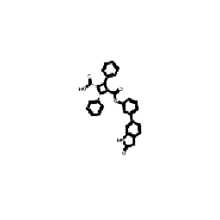 O=C1Cc2ccc(-c3cccc(OC(=O)C4C(c5ccccc5)[C@@H](C(=O)O)[C@H]4c4ccccc4)c3)cc2N1